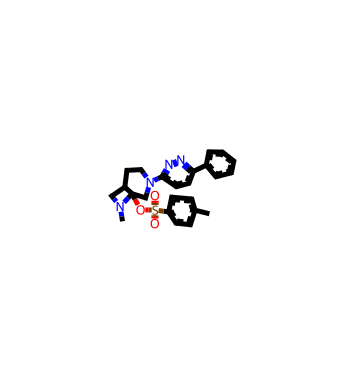 Cc1ccc(S(=O)(=O)OC23CN(c4ccc(-c5ccccc5)nn4)CCC2CN3C)cc1